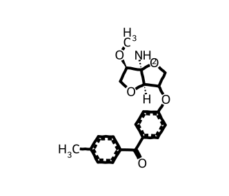 CO[C@@H]1CO[C@@H]2C(Oc3ccc(C(=O)c4ccc(C)cc4)cc3)CO[C@@]21N